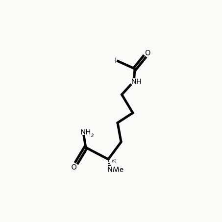 CN[C@@H](CCCCNC(=O)I)C(N)=O